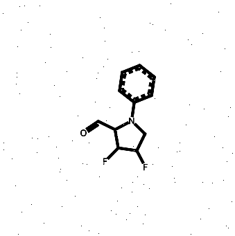 O=CC1C(F)C(F)CN1c1ccccc1